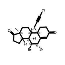 C[C@]12CC[C@H]3[C@@H]([C@H](Br)[C@@H](Br)C4=CC(=O)CC[C@@]43CC#CCl)[C@@H]1CCC2=O